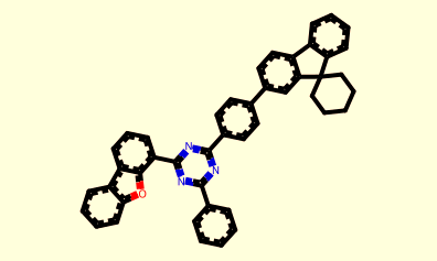 c1ccc(-c2nc(-c3ccc(-c4ccc5c(c4)C4(CCCCC4)c4ccccc4-5)cc3)nc(-c3cccc4c3oc3ccccc34)n2)cc1